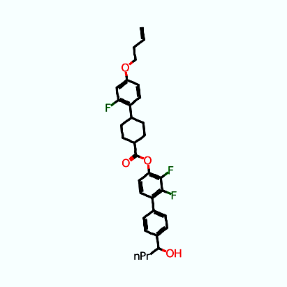 C=CCCOc1ccc(C2CCC(C(=O)Oc3ccc(-c4ccc(C(O)CCC)cc4)c(F)c3F)CC2)c(F)c1